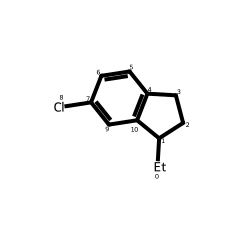 CCC1CCc2ccc(Cl)cc21